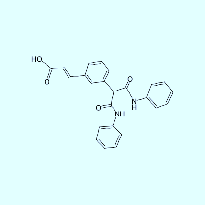 O=C(O)/C=C/c1cccc(C(C(=O)Nc2ccccc2)C(=O)Nc2ccccc2)c1